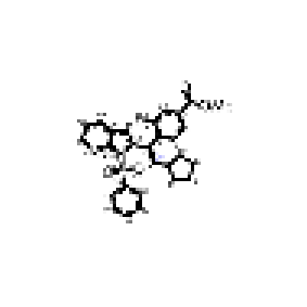 COC(=O)c1ccc(/C(=C\C2CCCC2)c2cc3cccnc3n2S(=O)(=O)c2ccccc2)c(F)c1